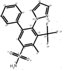 Cc1c(S(N)(=O)=O)cc(-c2ccccc2)c(-n2cccn2)c1C(F)(F)F